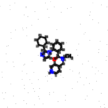 CN(Cc1ccncc1)C(=O)c1ccccc1-n1ccnc1C1CCCCC1